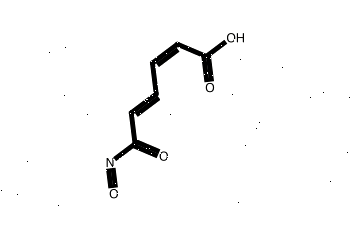 O=NC(=O)/C=C/C=C\C(=O)O